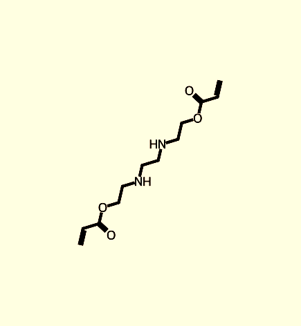 C=CC(=O)OCCNCCNCCOC(=O)C=C